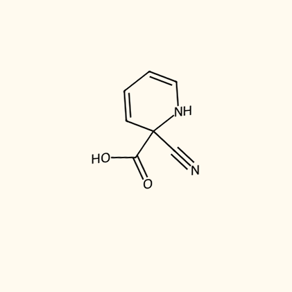 N#CC1(C(=O)O)C=CC=CN1